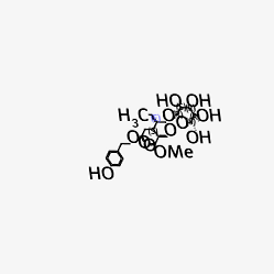 C/C=C1/C(O[C@H]2O[C@@H](CO)[C@H](O)[C@@H](O)[C@@H]2O)OC=C(C(=O)OC)[C@H]1CC(=O)OCCc1ccc(O)cc1